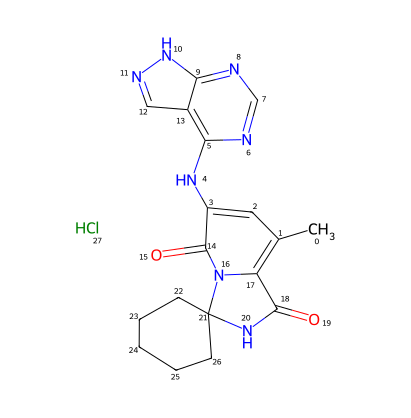 Cc1cc(Nc2ncnc3[nH]ncc23)c(=O)n2c1C(=O)NC21CCCCC1.Cl